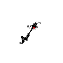 CC(=O)Oc1ccc2c(c1)Oc1cc(C)ccc1C21OC(=O)c2ccc(C(=O)NCCCCCCCCOc3ccc(Cc4nc5c(Cc6ccccc6)[nH]c(-c6ccc(O)cc6)cn-5c4=O)cc3F)cc21